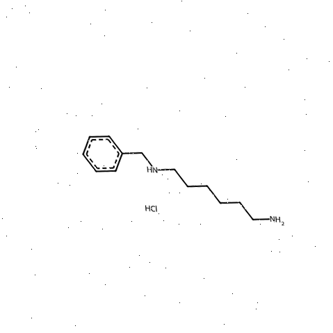 Cl.NCCCCCCNCc1ccccc1